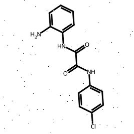 Nc1ccccc1NC(=O)C(=O)Nc1ccc(Cl)cc1